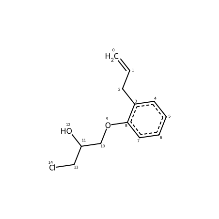 C=CCc1ccccc1OCC(O)CCl